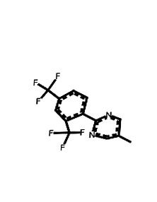 Cc1cnc(-c2ccc(C(F)(F)F)cc2C(F)(F)F)nc1